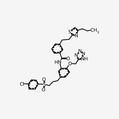 CCCc1csc(CCc2cccc(C(=O)Nc3cc(CCCS(=O)(=O)c4ccc(Cl)cc4)ccc3OCc3nnn[nH]3)c2)n1